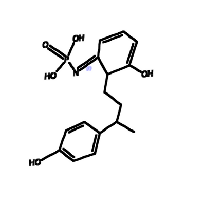 CC(CCC1C(O)=CC=C/C1=N\P(=O)(O)O)c1ccc(O)cc1